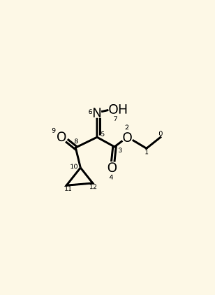 CCOC(=O)/C(=N\O)C(=O)C1CC1